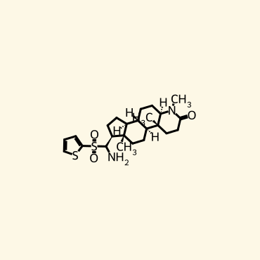 CN1C(=O)CC[C@]2(C)[C@H]3CC[C@]4(C)[C@@H](C(N)S(=O)(=O)c5cccs5)CC[C@H]4[C@@H]3CC[C@@H]12